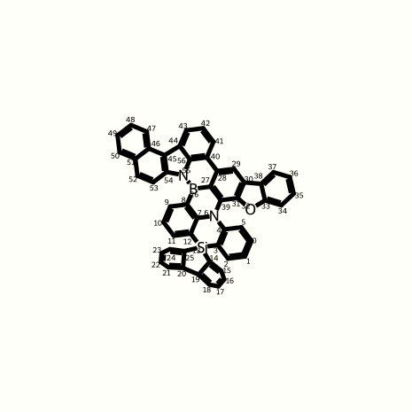 C1=C=CC2=C(C=1)N1c3c(cccc3[Si]23c2ccccc2-c2ccccc23)B2c3c(cc4c(oc5ccccc54)c31)-c1cccc3c4c5ccccc5ccc4n2c13